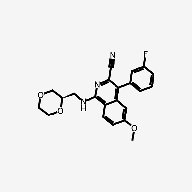 COc1ccc2c(NC[C@@H]3COCCO3)nc(C#N)c(-c3cccc(F)c3)c2c1